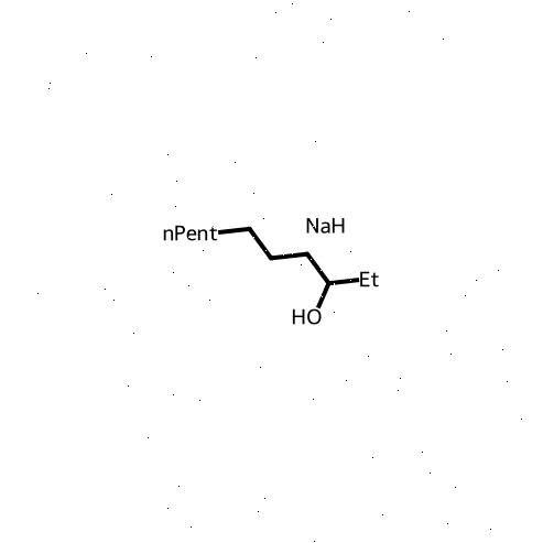 [CH2]CC(O)CCCCCCCC.[NaH]